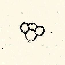 C1=c2cccc3c2=c2c(cccc2=C3)CO1